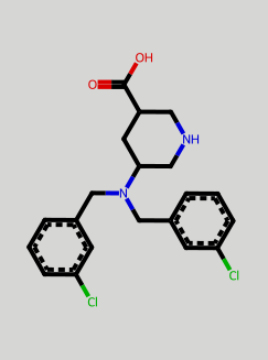 O=C(O)C1CNCC(N(Cc2cccc(Cl)c2)Cc2cccc(Cl)c2)C1